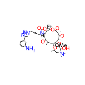 CC[C@H]1OC(=O)[C@H](C)C(=O)[C@H](C)[C@@H](O[C@@H]2O[C@H](C)CC(N(C)C)C2O)[C@](C)(OC)C[C@@H](C)C(=O)[C@H](C)[C@H]2N(CC#CCn3cc(-c4cccc(N)c4)nn3)C(=O)O[C@]12C